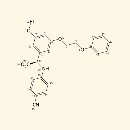 CCOc1cc(OCCOc2ccccc2)cc([C@@H](Nc2ccc(C#N)cc2)C(=O)O)c1